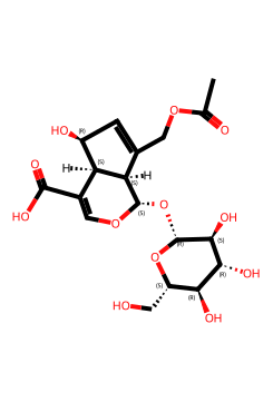 CC(=O)OCC1=C[C@H](O)[C@@H]2C(C(=O)O)=CO[C@@H](O[C@H]3O[C@@H](CO)[C@H](O)[C@@H](O)[C@@H]3O)[C@H]12